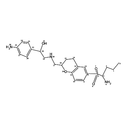 CCCC(N)S(=O)(=O)c1ccc2c(c1)CCC(CNCC(O)c1ccc(N)cc1)O2